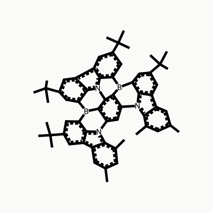 Cc1cc(C)c2c(c1)c1cc(C(C)(C)C)cc3c1n2-c1cc2c4c5c1B3c1cc(C(C)(C)C)cc3c6cc(C(C)(C)C)cc(c6n-5c13)B4c1cc(C(C)(C)C)cc3c4cc(C)cc(C)c4n-2c13